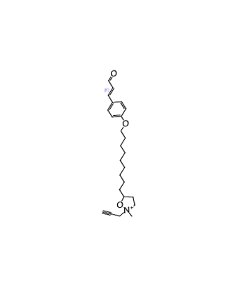 C#CC[N+]1(C)CCC(CCCCCCCCCOc2ccc(/C=C/C=O)cc2)O1